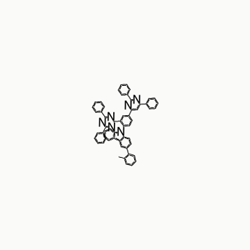 Cc1ccccc1-c1ccc2c(c1)c1ccccc1n2-c1ccc(-c2cc(-c3ccccc3)nc(-c3ccccc3)n2)cc1-c1nc(-c2ccccc2)nc(-c2ccccc2)n1